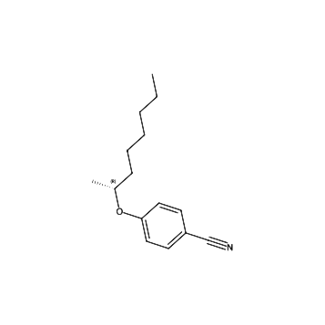 CCCCCC[C@@H](C)Oc1ccc(C#N)cc1